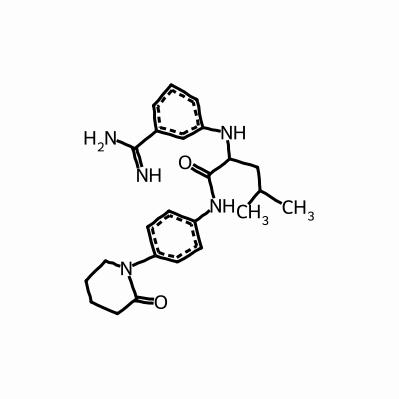 CC(C)CC(Nc1cccc(C(=N)N)c1)C(=O)Nc1ccc(N2CCCCC2=O)cc1